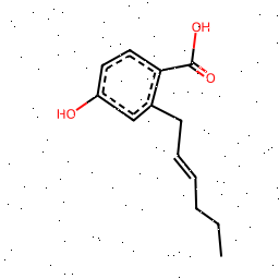 CCCC=CCc1cc(O)ccc1C(=O)O